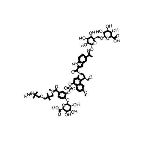 COc1ccc2c(OS(=O)(=O)Oc3cc(C(=O)N(C)CC(C)(C)COCC(C)(C)N=[N+]=[N-])ccc3O[C@@H]3O[C@H](C(=O)O)[C@@H](O)[C@H](O)[C@H]3O)cc3c(c2c1)[C@H](CCl)CN3C(=O)c1cc2cc(/C(C)=N/O[C@@H]3O[C@H](CO[C@@H]4OC(C(=O)O)[C@@H](O)[C@H](O)[C@H]4O)[C@H](O)[C@H](O)[C@H]3O)ccc2[nH]1